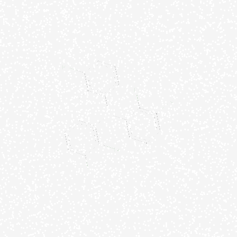 Brc1ccc[c]([Sb]([c]2cccc(Br)c2Br)[c]2cccc(Br)c2Br)c1Br